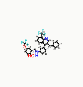 Oc1ccc(OC(F)(F)F)cc1CNc1cccc(-c2c(Cc3ccccc3)cnc3c(C(F)(F)F)cccc23)c1